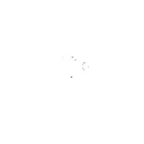 CC(=O)O[C@H]1CC[C@H](C(=O)N2CCC(=C3c4ccc(F)cc4Sc4ccc(C(F)(F)F)cc43)CC2)CC1